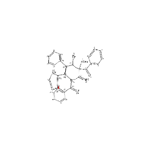 CCCCCCC1(C(=O)c2ccccc2)C(=N)N(C(=O)c2ccccc2)N(c2ccc[nH]2)N(c2ccccc2)C1CC